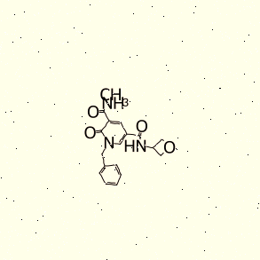 CNC(=O)c1cc(C(=O)NC2COC2)cn(Cc2ccccc2)c1=O